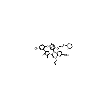 C=CCOc1cc(C(C)(C)C)ccc1N(C(=O)c1cc(-c2cc(Cl)ccc2C(=O)O)n(C)c1C)c1cnc(C)nc1OCCOC1CCCCO1